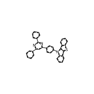 c1ccc(-c2cc(-c3ccc(-n4c5ccccc5c5sc6ccccc6c54)cc3)nc(-c3ccccc3)n2)cc1